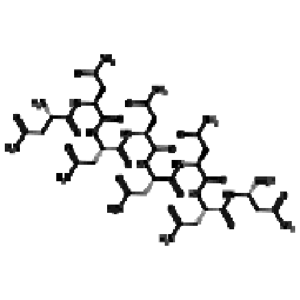 NC(=O)C[C@H](NC(=O)[C@H](CC(N)=O)NC(=O)[C@H](CC(N)=O)NC(=O)[C@H](CC(N)=O)NC(=O)[C@H](CC(N)=O)NC(=O)[C@H](CC(N)=O)NC(=O)[C@H](CC(N)=O)NC(=O)[C@@H](N)CC(N)=O)C(=O)O